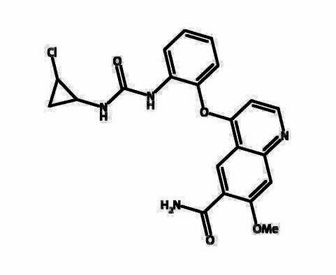 COc1cc2nccc(Oc3ccccc3NC(=O)NC3CC3Cl)c2cc1C(N)=O